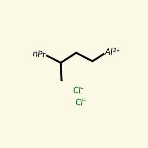 CCCC(C)C[CH2][Al+2].[Cl-].[Cl-]